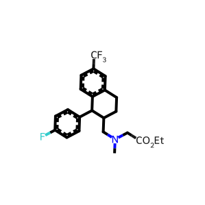 CCOC(=O)CN(C)CC1CCc2cc(C(F)(F)F)ccc2C1c1ccc(F)cc1